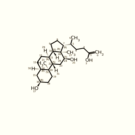 C=C(O)CCC(C)[C@H]1CC[C@H]2[C@@H]3CC[C@@H]4C[C@H](O)CC[C@]4(C)[C@H]3C[C@H](O)[C@]12C